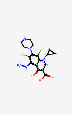 NNc1c(F)c(N2CCNCC2)c(F)c2c1c(=O)c(C(=O)O)cn2C1CC1